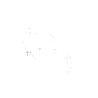 COc1cc2cc(c1Cl)N(C)C(=O)C[C@H](OC(=O)[C@H](C)N(C)C(=O)CCSSC(C)(C)CC(=O)N/N=C1/CCCc3cc(N)ccc31)C(C)(O)C[C@H](C)[C@@H]1C[C@@](O)(NC(=O)O1)[C@H](OC)/C=C/C=C(\C)C2